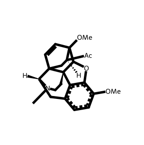 COc1ccc2c3c1OC1C4(OC)C=CC5(C[C@@H]4C(C)=O)[C@@H](C2)N(C)CC[C@]315